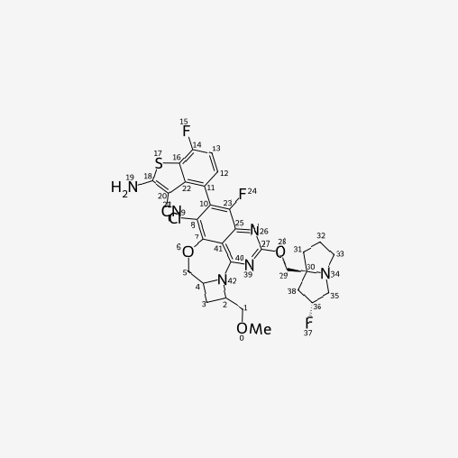 COCC1CC2COc3c(Cl)c(-c4ccc(F)c5sc(N)c(C#N)c45)c(F)c4nc(OC[C@@]56CCCN5C[C@H](F)C6)nc(c34)N12